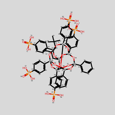 COP(=O)(O)c1ccc([Si]23O[Si]4(CC(C)CC(C)(C)C)O[Si]5(c6ccccc6)O[Si](c6ccccc6)(O2)O[Si]2(c6ccc(P(=O)(O)O)cc6)O[Si](c6ccc(P(=O)(O)O)cc6)(O5)O[Si](c5ccc(P(=O)(O)O)cc5)(O4)O[Si](c4ccc(P(=O)(O)O)cc4)(O3)O2)cc1